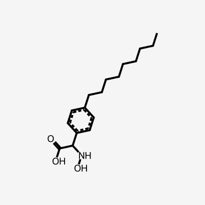 CCCCCCCCCc1ccc(C(NO)C(=O)O)cc1